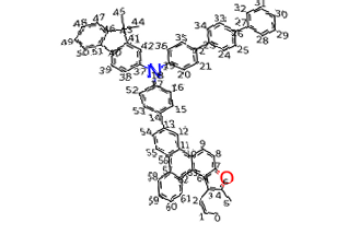 C/C=C\c1c(C)oc2ccc3c4cc(-c5ccc(N(c6ccc(-c7ccc(-c8ccccc8)cc7)cc6)c6ccc7c(c6)C(C)(C)c6ccccc6-7)cc5)ccc4c4ccccc4c3c12